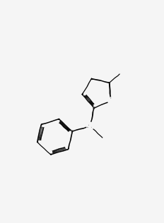 CN(C1=CCC(Cl)S1)c1ccccc1